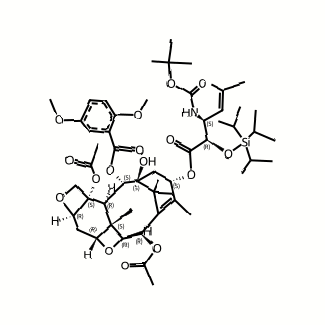 COc1ccc(OC)c(C(=O)O[C@H]2[C@@H]3[C@]4(OC(C)=O)CO[C@@H]4C[C@H]4O[C@@H]([C@H](OC(C)=O)C5=C(C)[C@@H](OC(=O)[C@H](O[Si](C(C)C)(C(C)C)C(C)C)[C@H](C=C(C)C)NC(=O)OC(C)(C)C)C[C@]2(O)C5(C)C)[C@@]34C)c1